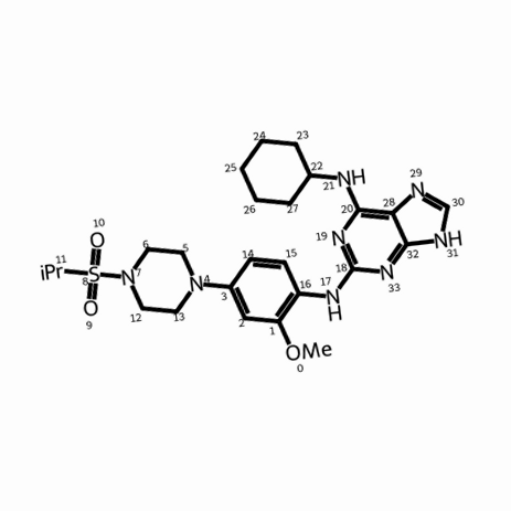 COc1cc(N2CCN(S(=O)(=O)C(C)C)CC2)ccc1Nc1nc(NC2CCCCC2)c2nc[nH]c2n1